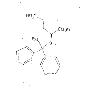 CCOC(=O)C(CCC(=O)O)O[Si](c1ccccc1)(c1ccccc1)C(C)(C)C